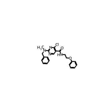 CN(Cc1ccccc1)c1ncc(C(=O)NCCOc2ccccc2)c(Cl)n1